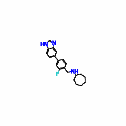 Fc1cc(-c2ccc3[nH]cnc3c2)ccc1CNC1CCCCCC1